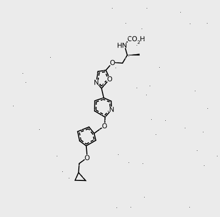 C[C@@H](COc1cnc(-c2ccc(Oc3cccc(OCC4CC4)c3)nc2)o1)NC(=O)O